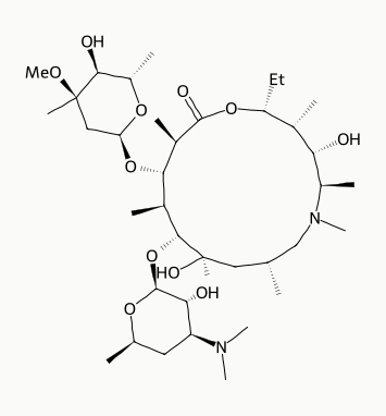 CC[C@H]1OC(=O)[C@H](C)[C@@H](O[C@H]2C[C@@](C)(OC)[C@@H](O)[C@H](C)O2)[C@H](C)[C@@H](O[C@@H]2O[C@H](C)C[C@H](N(C)C)[C@H]2O)[C@](C)(O)C[C@@H](C)CN(C)[C@H](C)[C@@H](O)[C@H]1C